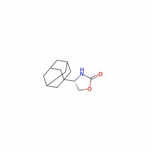 O=C1N[C@@H](C23CC4CC(CC(C4)C2)C3)CO1